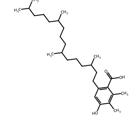 Cc1c(O)cc(CCC(C)CCCC(C)CCCC(C)CCCC(C)C)c(C(=O)O)c1C